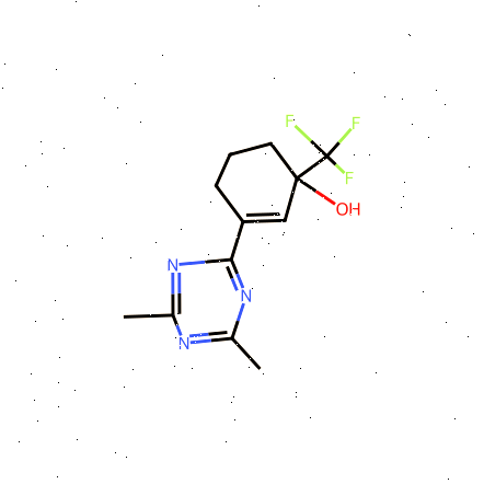 Cc1nc(C)nc(C2=CC(O)(C(F)(F)F)CCC2)n1